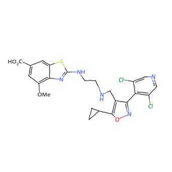 COc1cc(C(=O)O)cc2sc(NCCNCc3c(-c4c(Cl)cncc4Cl)noc3C3CC3)nc12